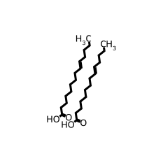 CCCCC=CCCCCCCCC(=O)O.CCCCC=CCCCCCCCC(=O)O